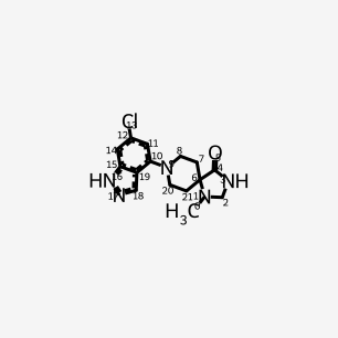 CN1CNC(=O)C12CCN(c1cc(Cl)cc3[nH]ncc13)CC2